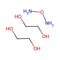 NON.OCCO.OCCO